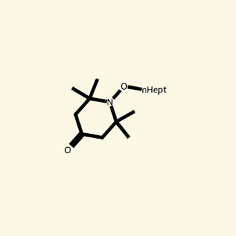 CCCCCCCON1C(C)(C)CC(=O)CC1(C)C